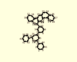 c1ccc(-c2cc(-c3cccc(-c4nc5ccccc5c5cc6ccc7cccnc7c6nc45)c3)cc(-c3ccccc3)n2)cc1